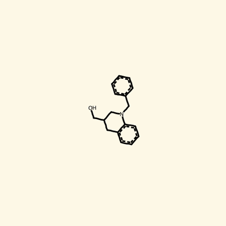 OCC1Cc2ccccc2N(Cc2ccccc2)C1